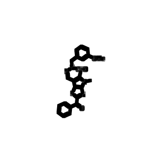 COc1cccc(CN(C=O)/N=C\c2c(C)n(C)c3nc(C(=O)c4ccccc4)sc23)c1